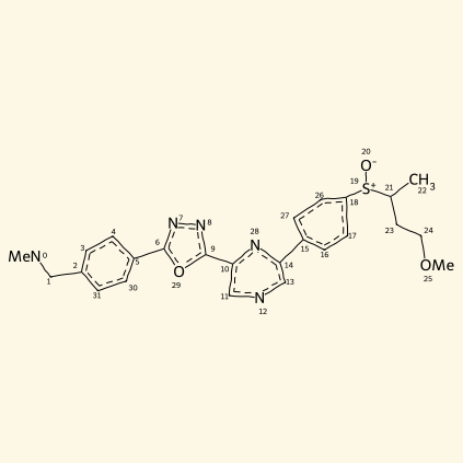 CNCc1ccc(-c2nnc(-c3cncc(-c4ccc([S+]([O-])C(C)CCOC)cc4)n3)o2)cc1